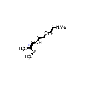 C=N/C(C)=C\NCCOCCNC